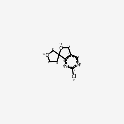 Clc1ncc2c(n1)C1(CCOC1)OC2